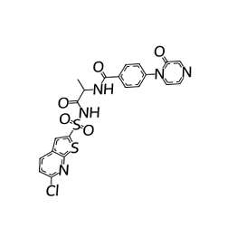 CC(NC(=O)c1ccc(-n2ccncc2=O)cc1)C(=O)NS(=O)(=O)c1cc2ccc(Cl)nc2s1